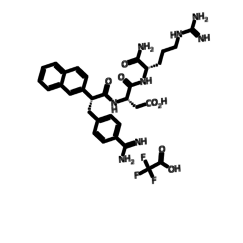 N=C(N)NCCC[C@H](NC(=O)[C@H](CC(=O)O)NC(=O)[C@H](Cc1ccc(C(=N)N)cc1)c1ccc2ccccc2c1)C(N)=O.O=C(O)C(F)(F)F